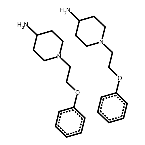 NC1CCN(CCOc2ccccc2)CC1.NC1CCN(CCOc2ccccc2)CC1